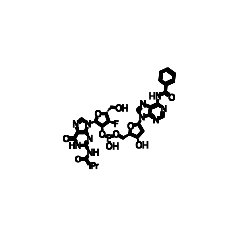 CC(C)C(=O)Nc1nc2c(ncn2[C@@H]2O[C@H](CO)[C@@H](F)[C@H]2OP(O)OC[C@H]2O[C@@H](n3cnc4c(NC(=O)c5ccccc5)ncnc43)C[C@@H]2O)c(=O)[nH]1